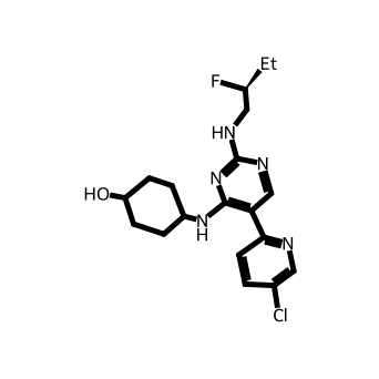 CC[C@H](F)CNc1ncc(-c2ccc(Cl)cn2)c(NC2CCC(O)CC2)n1